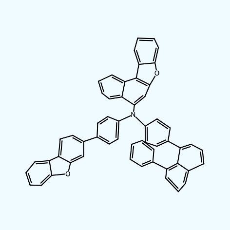 c1ccc(-c2cccc3cccc(-c4ccc(N(c5ccc(-c6ccc7c(c6)oc6ccccc67)cc5)c5cc6oc7ccccc7c6c6ccccc56)cc4)c23)cc1